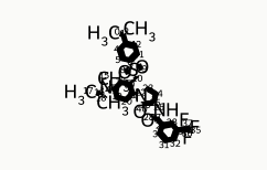 CC(C)c1ccc(S(=O)(=O)C[C@@H]2C[C@H](N(C)C(C)C)CC[C@@H]2N2CCC(NC(=O)c3cccc(C(F)(F)F)c3)C2=O)cc1